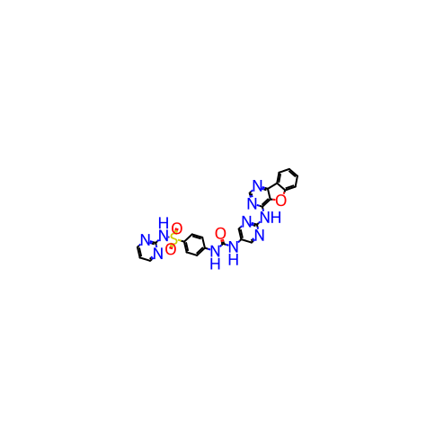 O=C(Nc1ccc(S(=O)(=O)Nc2ncccn2)cc1)Nc1cnc(Nc2ncnc3c2oc2ccccc23)nc1